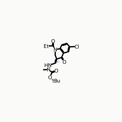 CCC(=O)N1C/C(=C\NN(C)C(=O)OC(C)(C)C)C(=O)c2cc(Cl)ccc21